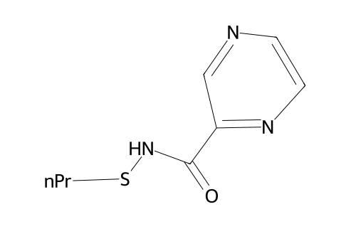 CCCSNC(=O)c1cnccn1